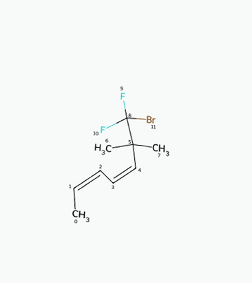 C/C=C\C=C/C(C)(C)C(F)(F)Br